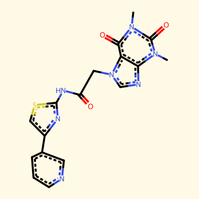 Cn1c(=O)c2c(ncn2CC(=O)Nc2nc(-c3cccnc3)cs2)n(C)c1=O